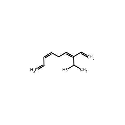 C=C/C=C\C/C=C(/C=C)C(C)S